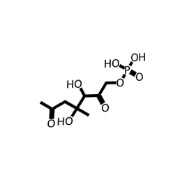 CC(=O)CC(C)(O)C(O)C(=O)COP(=O)(O)O